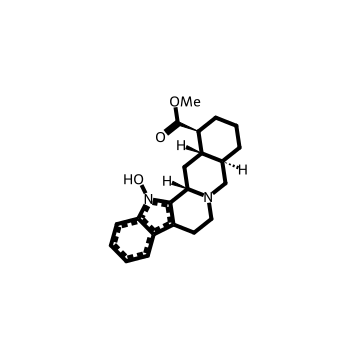 COC(=O)[C@H]1CCC[C@H]2CN3CCc4c(n(O)c5ccccc45)[C@@H]3C[C@@H]21